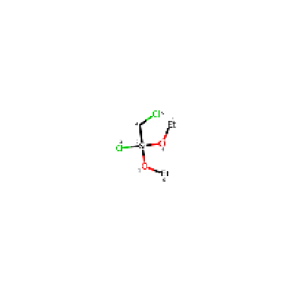 CCO[Si](Cl)(CCl)OCC